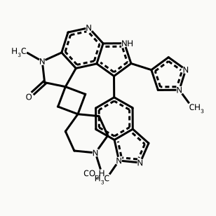 CN1C(=O)C2(CC3(CCN(C(=O)O)CC3)C2)c2c1cnc1[nH]c(-c3cnn(C)c3)c(-c3ccc4c(cnn4C)c3)c21